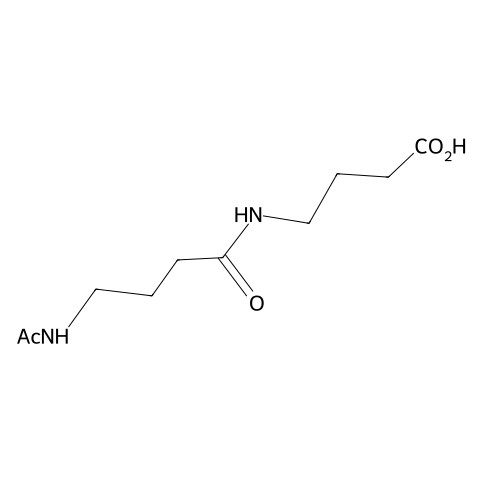 CC(=O)NCCCC(=O)NCCCC(=O)O